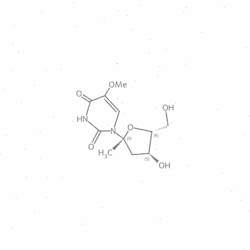 COc1cn([C@@]2(C)C[C@H](O)[C@@H](CO)O2)c(=O)[nH]c1=O